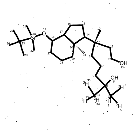 [2H]C([2H])([2H])C(O)(CCC[C@@](C)(CCO)C1CCC2C(O[Si](C)(C)C(C)(C)C)CCC[C@@]21C)C([2H])([2H])[2H]